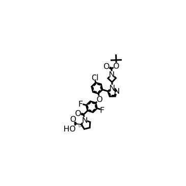 CC(C)(C)OC(=O)N1CC(n2nccc2-c2cc(Cl)ccc2Oc2cc(F)c(C(=O)N3CCC[C@H]3C(=O)O)cc2F)C1